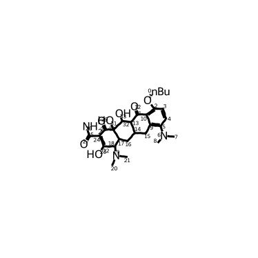 CCCCOc1ccc(N(C)C)c2c1C(=O)C1C(C2)CC2C(N(C)C)C(O)=C(C(N)=O)C(=O)C2(O)C1O